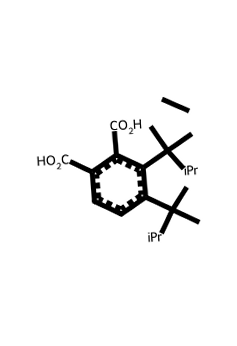 CC.CC(C)C(C)(C)c1ccc(C(=O)O)c(C(=O)O)c1C(C)(C)C(C)C